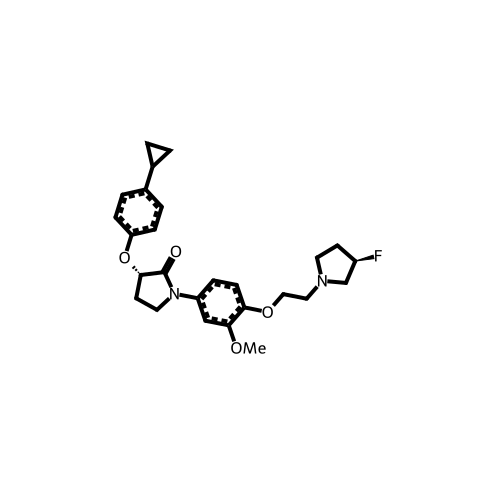 COc1cc(N2CC[C@H](Oc3ccc(C4CC4)cc3)C2=O)ccc1OCCN1CC[C@@H](F)C1